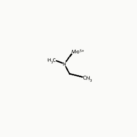 CC[N](C)[Mo+5]